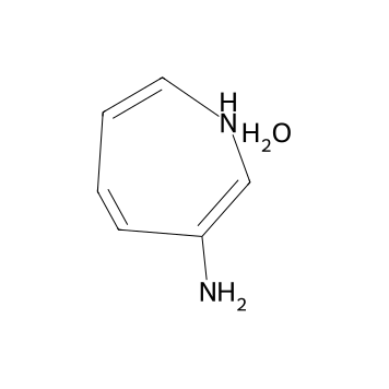 NC1=CNC=CC=C1.O